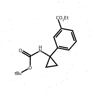 CCOC(=O)c1cccc(C2(NC(=O)OC(C)(C)C)CC2)c1